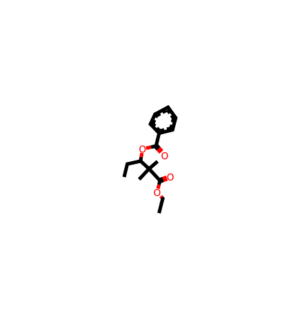 CCOC(=O)C(C)(C)C(CC)OC(=O)c1ccccc1